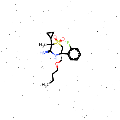 CCCCOC[C@@]1(c2ccccc2F)CS(=O)(=O)C(C)(C2CC2)C(=N)N1